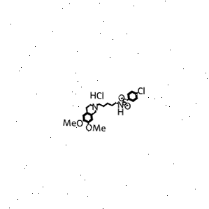 COc1cc2c(cc1OC)CN(CCCCCNS(=O)(=O)c1ccc(Cl)cc1)CC2.Cl